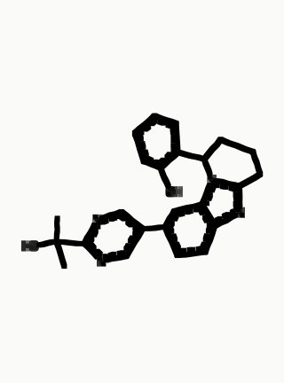 CC(C)(O)c1ncc(-c2ccc3nc4n(c3c2)C(c2ccccc2O)CCC4)cn1